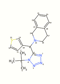 CC(C)(C)n1nnnc1C(c1ccsc1)N1CCc2ccccc2C1